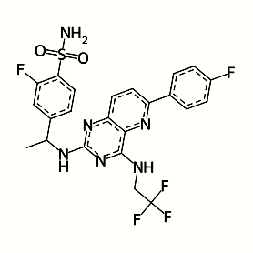 CC(Nc1nc(NCC(F)(F)F)c2nc(-c3ccc(F)cc3)ccc2n1)c1ccc(S(N)(=O)=O)c(F)c1